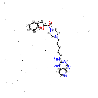 N#CN=C(NCCCCCN1CCN(C(=O)c2cc3ccccc3o2)CC1)Nc1ccncc1